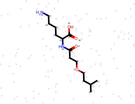 CC(C)CCOCCC(=O)NC(CCCCN)C(=O)O